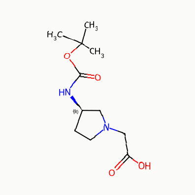 CC(C)(C)OC(=O)N[C@@H]1CCN(CC(=O)O)C1